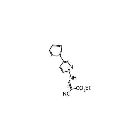 CCOC(=O)/C(C#N)=C\Nc1ccc(-c2ccccc2)cn1